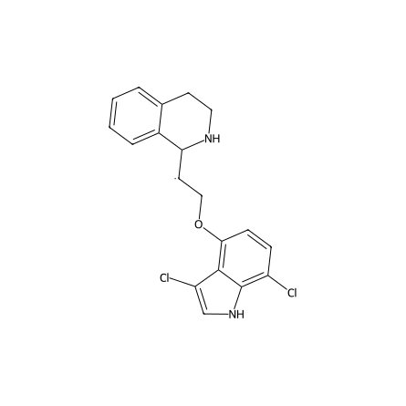 Clc1ccc(OC[CH]C2NCCc3ccccc32)c2c(Cl)c[nH]c12